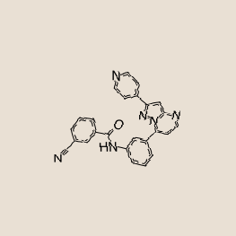 N#Cc1cccc(C(=O)Nc2cccc(-c3ccnc4cc(-c5ccncc5)nn34)c2)c1